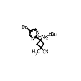 CC1(C#N)CC(NSC(C)(C)C)(c2ncc(Br)cn2)C1